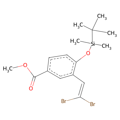 COC(=O)c1ccc(O[Si](C)(C)C(C)(C)C)c(C=C(Br)Br)c1